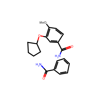 COc1ccc(C(N)=O)cc1OC1CCCC1.NC(=O)c1ccccc1